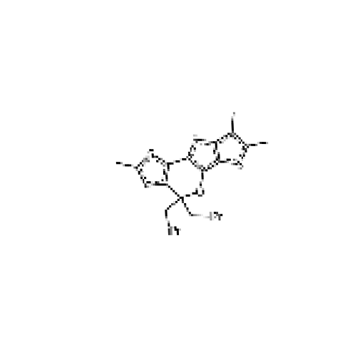 Cc1cc2c(s1)-c1sc3c(C)c(C)sc3c1OC2(CC(C)C)CC(C)C